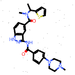 CC(c1cccs1)N(C)C(=O)c1ccc2[nH]nc(NC(=O)c3ccc(N4CCN(C)CC4)cc3)c2c1